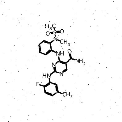 Cc1ccc(F)c(Nc2ncc(C(N)=O)c(Nc3ccccc3N(C)S(C)(=O)=O)n2)c1